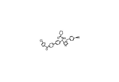 N#Cc1ccc(Cn2cncc2C(NC(=O)C2CCCC2)c2ccc(N3CCN(C(=O)c4ccc(Cl)s4)CC3)cc2)cc1